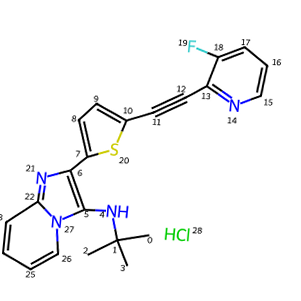 CC(C)(C)Nc1c(-c2ccc(C#Cc3ncccc3F)s2)nc2ccccn12.Cl